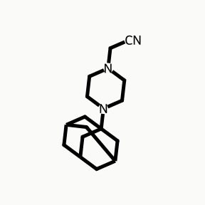 N#CCN1CCN(C23CC4CC(CC(C4)C2)C3)CC1